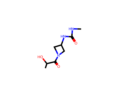 CNC(=O)NC1CN(C(=O)C(C)O)C1